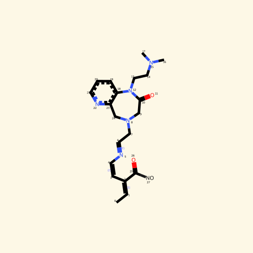 C\C=C(/C=C\N=C\CN1CC(=O)N(CCN(C)C)c2cccnc2C1)C(=O)N=O